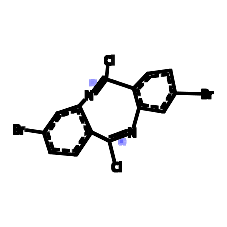 Cl/C1=N/c2cc(Br)ccc2/C(Cl)=N\c2cc(Br)ccc21